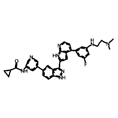 CN(C)CCNc1cc(F)cc(-c2ccnc3[nH]c(-c4n[nH]c5ccc(-c6cncc(NC(=O)C7CC7)c6)cc45)cc23)c1